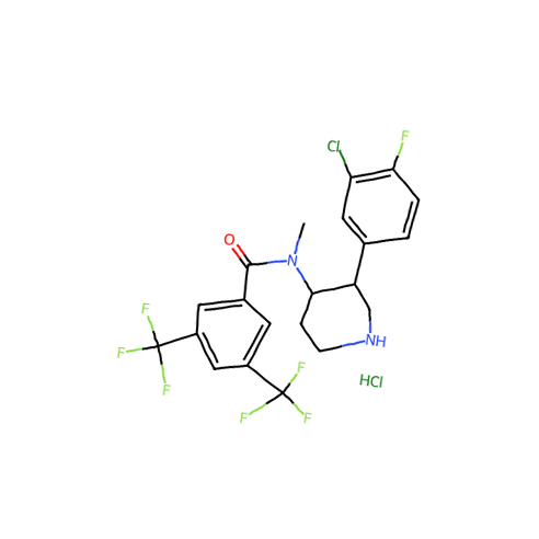 CN(C(=O)c1cc(C(F)(F)F)cc(C(F)(F)F)c1)C1CCNCC1c1ccc(F)c(Cl)c1.Cl